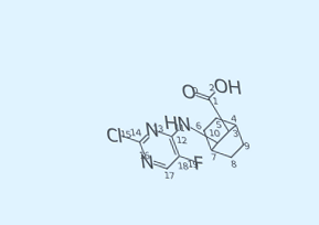 O=C(O)C1C2CCC(CC2)C1Nc1nc(Cl)ncc1F